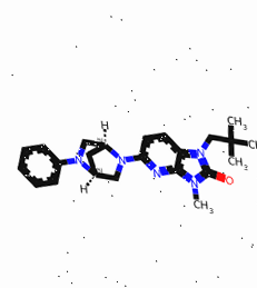 Cn1c(=O)n(CC(C)(C)C)c2ccc(N3C[C@@H]4C[C@H]3CN4c3ccccc3)nc21